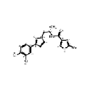 CC(=O)c1nc(C(=O)N[C@@H](C)Cn2ccc(-c3ccc(C#N)c(Cl)c3)n2)co1